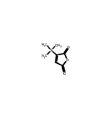 C[Si](C)(C)C1=CC(=O)OC1=O